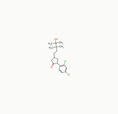 CC(C)(CCC1CC(=O)C(c2ccc(Cl)cc2Cl)C1)[Si](C)(C)O